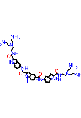 NCCN(CCN)CCNC(=O)c1cc2cc(NC(=O)c3ccc4[nH]c(C(=O)Nc5ccc6[nH]c(C(=O)NCCN(CCN)CCN)cc6c5)cc4c3)ccc2[nH]1